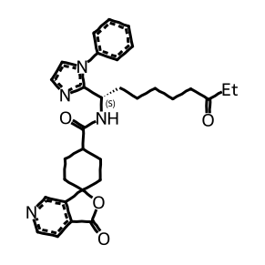 CCC(=O)CCCCC[C@H](NC(=O)C1CCC2(CC1)OC(=O)c1ccncc12)c1nccn1-c1ccccc1